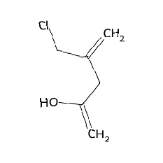 C=C(O)CC(=C)CCl